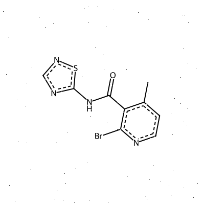 Cc1ccnc(Br)c1C(=O)Nc1ncns1